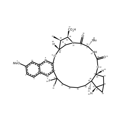 COc1ccc2nc3c(nc2c1)O[C@H]1CN(C(=O)[C@H](C(C)(C)C)NC(=O)O[C@@H]2CC4C[C@@H]4[C@H]2CCCCC3(F)F)[C@H](C(=O)O)[C@@H]1C